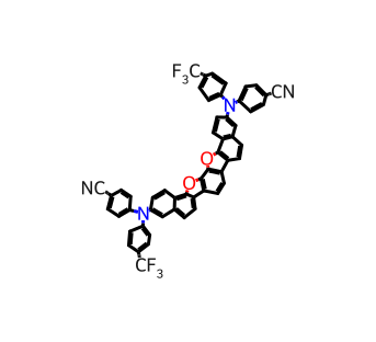 N#Cc1ccc(N(c2ccc(C(F)(F)F)cc2)c2ccc3c(ccc4c5ccc6c7ccc8cc(N(c9ccc(C#N)cc9)c9ccc(C(F)(F)F)cc9)ccc8c7oc6c5oc34)c2)cc1